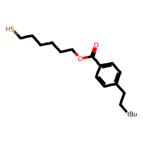 CC(C)(C)CCc1ccc(C(=O)OCCCCCCS)cc1